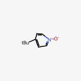 CC(C)(C)c1cc[n+]([O-])cc1